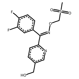 CS(=O)(=O)CO/N=C(\c1ccc(F)c(F)c1)c1ccc(CO)cn1